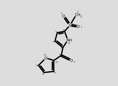 CS(=O)(=O)c1ccc(C(=O)c2ccco2)[nH]1